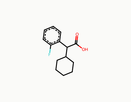 O=C(O)C(c1ccccc1F)C1CCCCC1